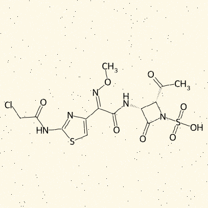 CON=C(C(=O)N[C@H]1C(=O)N(S(=O)(=O)O)[C@H]1C(C)=O)c1csc(NC(=O)CCl)n1